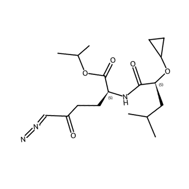 CC(C)C[C@H](OC1CC1)C(=O)N[C@@H](CCC(=O)C=[N+]=[N-])C(=O)OC(C)C